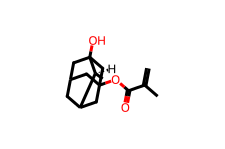 C=C(C)C(=O)OC12CC3CC(C1)[C@H](C)C(O)(C3)C2